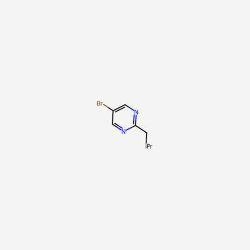 CC(C)Cc1ncc(Br)cn1